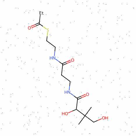 CCC(=O)SCCNC(=O)CCNC(=O)C(O)C(C)(C)CO